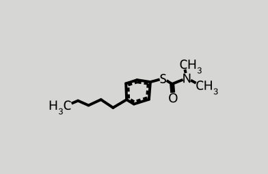 CCCCCc1ccc(SC(=O)N(C)C)cc1